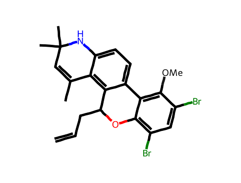 C=CCC1Oc2c(Br)cc(Br)c(OC)c2-c2ccc3c(c21)C(C)=CC(C)(C)N3